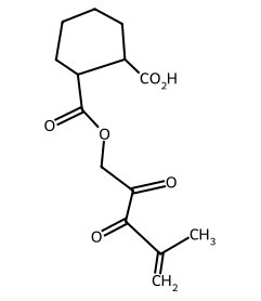 C=C(C)C(=O)C(=O)COC(=O)C1CCCCC1C(=O)O